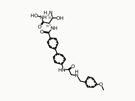 COc1ccc(CNCC(=O)Nc2ccc(-c3ccc(C(=O)N[C@H](C(=O)NO)[C@@H](N)O)cc3)cc2)cc1